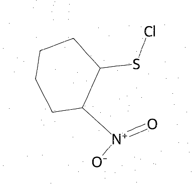 O=[N+]([O-])C1CCCCC1SCl